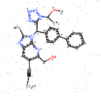 CCCCc1nc2cc(C#CC(=O)OCC)c(CO)nc2n1C(c1ccc(-c2ccccc2)cc1)c1nnnn1C(C)OCC